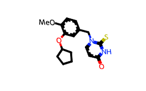 COc1ccc(Cn2ccc(=O)[nH]c2=S)cc1OC1CCCC1